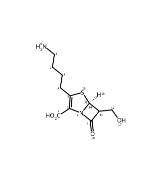 NCCCCC1=C(C(=O)O)N2C(=O)C(CO)[C@@H]2S1